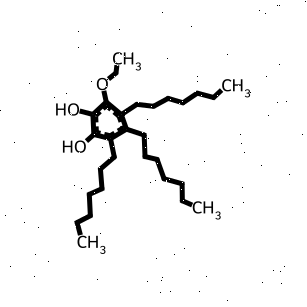 CCCCCCCc1c(O)c(O)c(OCC)c(CCCCCCC)c1CCCCCCC